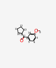 COc1cccc(C(=O)C2CCCC2)c1